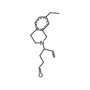 C=CC(CCC=O)N1CCc2ccc(CC)cc2C1